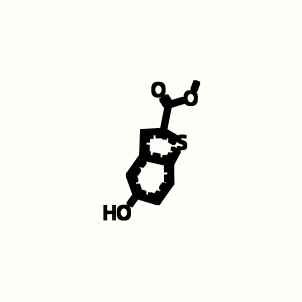 COC(=O)c1cc2cc(O)ccc2s1